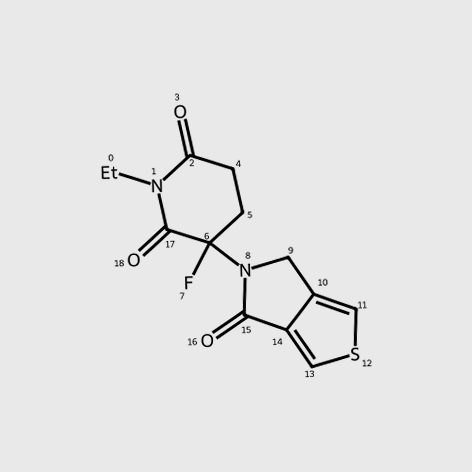 CCN1C(=O)CCC(F)(N2Cc3cscc3C2=O)C1=O